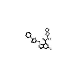 O=C(NC1CC2(CCC2)C1)c1cc(Cl)cc2cnn(Cc3cnc(-c4ccccc4)s3)c12